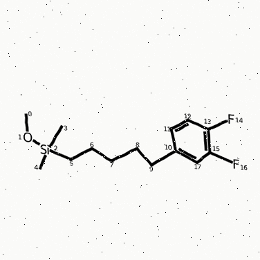 CO[Si](C)(C)CCCCCc1ccc(F)c(F)c1